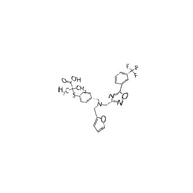 CC(C)(Sc1ccc(CN(Cc2noc(-c3cccc(C(F)(F)F)c3)n2)Cc2ccco2)cc1)C(=O)O